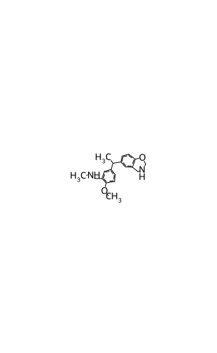 CNCc1cc(C(C)c2ccc3c(c2)CNCO3)ccc1OC